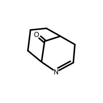 O=C1C2CC=NC1CCC2